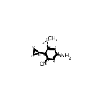 COc1cc(N)cc(Cl)c1C1CC1